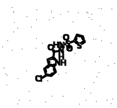 O=C(NNS(=O)(=O)c1cccs1)c1cc2cc(Cl)ccc2[nH]1